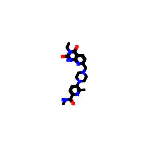 CCn1c(=O)[nH]c2nc(CN3CCN(c4ccc(C(=O)NC)nc4C)CC3)ccc2c1=O